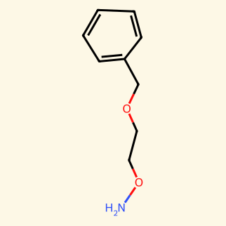 NOCCOCc1ccccc1